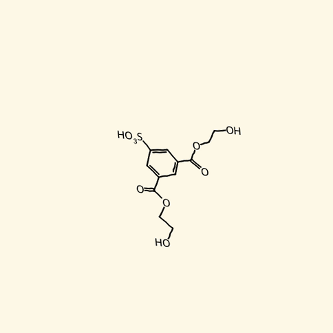 O=C(OCCO)c1cc(C(=O)OCCO)cc(S(=O)(=O)O)c1